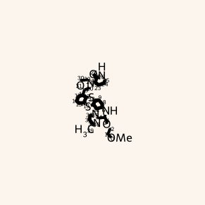 COCCOCC(Nc1ccc2c(c1)Sc1cccc(C3CN(c4ccc[nH]c4=O)CCO3)c1S2)c1nccc(C)n1